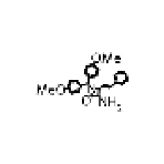 COc1ccc(C(c2ccc(OC)cc2)N2C(=O)C(N)C2C=Cc2ccccc2)cc1